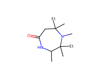 CCC1(C)CC(=O)NC(C)C(C)(CC)N1C